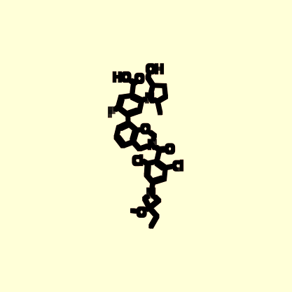 CCC1(OC)CN(c2cc(Cl)c(C(=O)N3COc4c(cccc4-c4cc(N5C(C)CCC5CO)c(C(=O)O)cc4F)C3)c(Cl)c2)C1